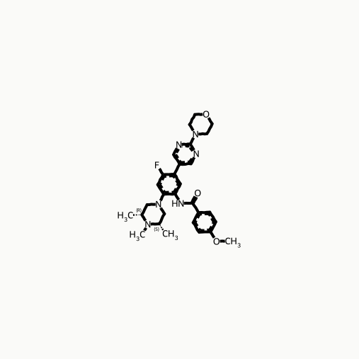 COc1ccc(C(=O)Nc2cc(-c3cnc(N4CCOCC4)nc3)c(F)cc2N2C[C@@H](C)N(C)[C@@H](C)C2)cc1